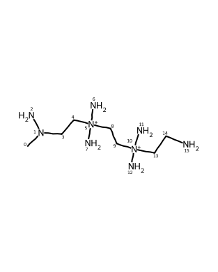 CN(N)CC[N+](N)(N)CC[N+](N)(N)CCN